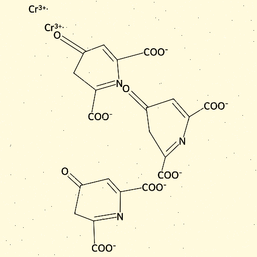 O=C1C=C(C(=O)[O-])N=C(C(=O)[O-])C1.O=C1C=C(C(=O)[O-])N=C(C(=O)[O-])C1.O=C1C=C(C(=O)[O-])N=C(C(=O)[O-])C1.[Cr+3].[Cr+3]